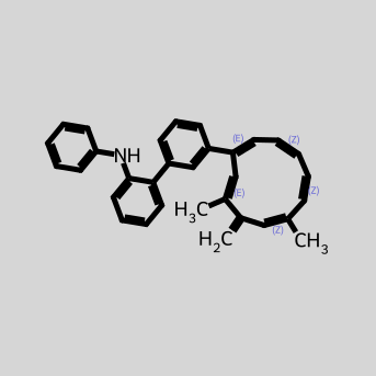 C=C1\C=C(C)/C=C\C=C/C=C(c2cccc(-c3ccccc3Nc3ccccc3)c2)\C=C\1C